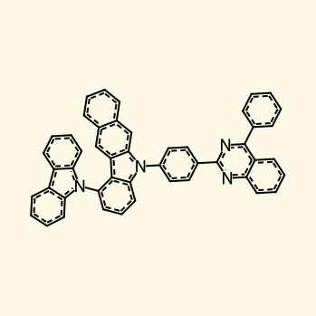 c1ccc(-c2nc(-c3ccc(-n4c5cc6ccccc6cc5c5c(-n6c7ccccc7c7ccccc76)cccc54)cc3)nc3ccccc23)cc1